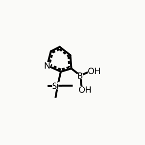 C[Si](C)(C)c1ncccc1B(O)O